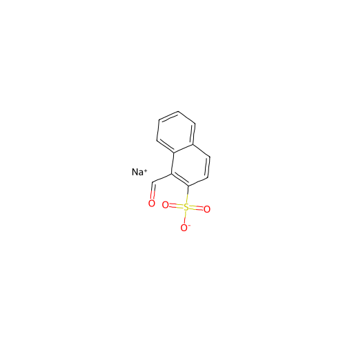 O=Cc1c(S(=O)(=O)[O-])ccc2ccccc12.[Na+]